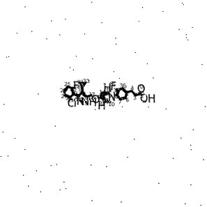 O=C(O)CCc1ccc(N2C[C@@H]3C[C@H]2C[C@H]3OCc2[nH]nc(-c3c(F)cccc3Cl)c2C2CC2)c(F)c1